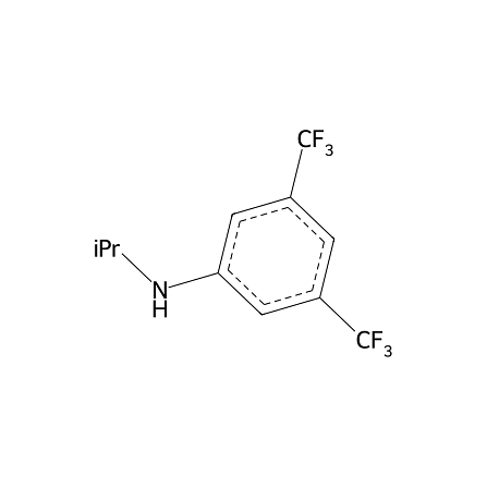 CC(C)Nc1cc(C(F)(F)F)cc(C(F)(F)F)c1